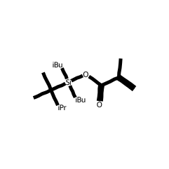 C=C(C)C(=O)O[Si](C(C)CC)(C(C)CC)C(C)(C)C(C)C